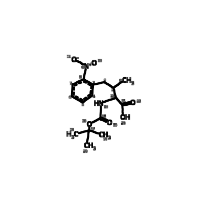 CC(Cc1ccccc1[N+](=O)[O-])C(NC(=O)OC(C)(C)C)C(=O)O